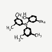 Cc1cc(C)cc(N(c2cc(C)cc(C)c2)c2cc(C(C)(C)C)ccc2O)c1